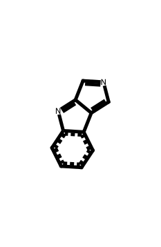 C1=NC=C2C1=Nc1ccccc12